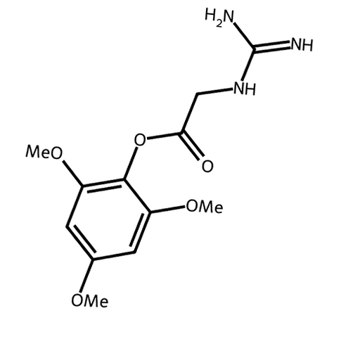 COc1cc(OC)c(OC(=O)CNC(=N)N)c(OC)c1